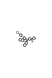 c1ccc2cc(-c3c(N(c4ccc(-c5ccc(C6CCCC6)cc5)cc4)c4ccc5c(c4)sc4ccccc45)ccc4ccccc34)ccc2c1